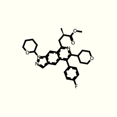 COC(=O)[C@H](C)Cc1nc(C2CCOCC2)c(-c2ccc(F)cc2)c2cc3cnn(C4CCCCO4)c3cc12